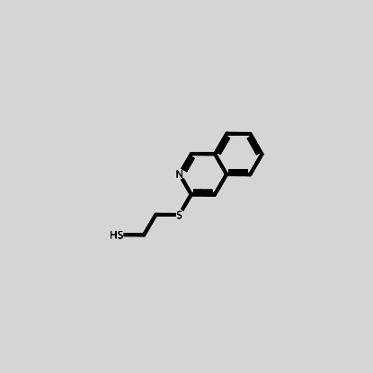 SCCSc1cc2ccccc2cn1